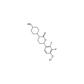 CCCCC1CCC(C2CCC(c3ccc(OCC)c(F)c3F)OC2=O)CC1